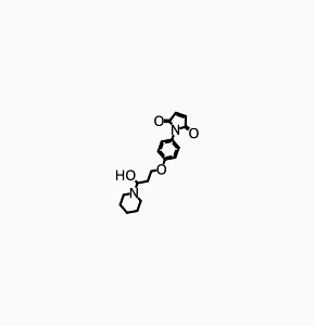 O=C1C=CC(=O)N1c1ccc(OCCC(O)N2CCCCC2)cc1